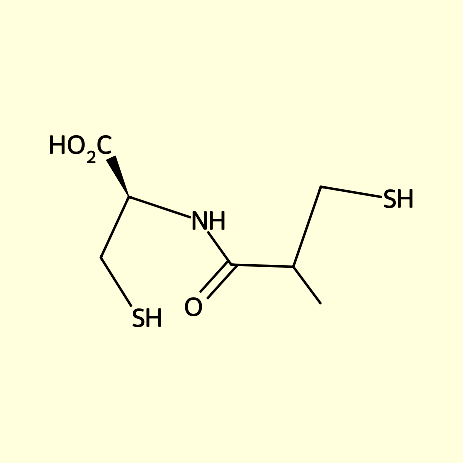 CC(CS)C(=O)N[C@@H](CS)C(=O)O